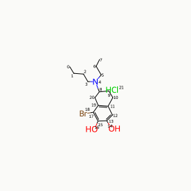 CCCCN(CCC)C1CCc2cc(O)c(O)c(Br)c2C1.Cl